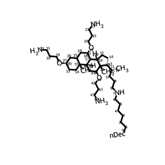 CCCCCCCCCCCCCCCCNCCC[C@@H](C)[C@H]1CC[C@H]2C3[C@H](OCCCN)CC4C[C@H](OCCCN)CCC4(C)[C@H]3C[C@H](OCCCN)C12C